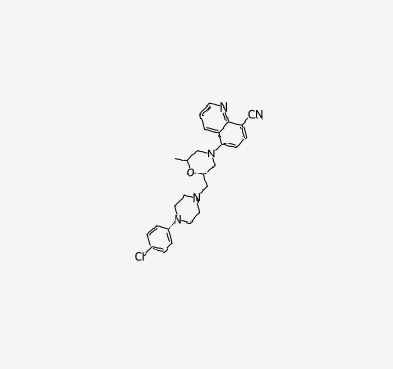 CC1CN(c2ccc(C#N)c3ncccc23)CC(CN2CCN(c3ccc(Cl)cc3)CC2)O1